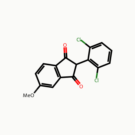 COc1ccc2c(c1)C(=O)C(c1c(Cl)cccc1Cl)C2=O